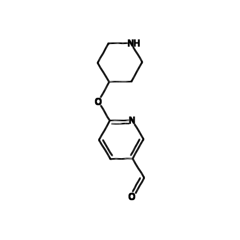 O=Cc1ccc(OC2CCNCC2)nc1